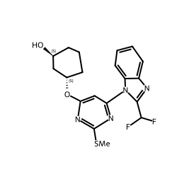 CSc1nc(O[C@H]2CCC[C@H](O)C2)cc(-n2c(C(F)F)nc3ccccc32)n1